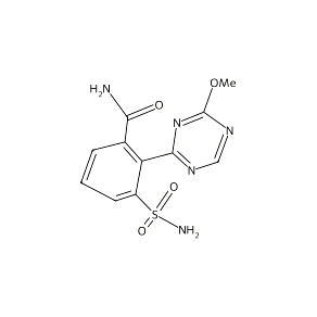 COc1ncnc(-c2c(C(N)=O)cccc2S(N)(=O)=O)n1